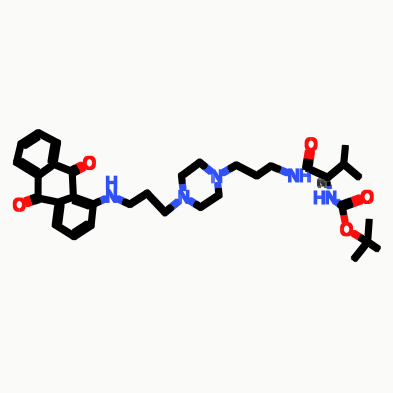 CC(C)[C@H](NC(=O)OC(C)(C)C)C(=O)NCCCN1CCN(CCCNc2cccc3c2C(=O)c2ccccc2C3=O)CC1